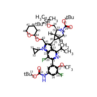 C=C(C)c1nc(-c2cc(NC(=O)OC(C)(C)C)cc(F)c2OC(F)(F)F)c(F)c2c1c([C@@H]1[C@H]3CN(C(=O)OC(C)(C)C)[C@H](CO[Si](C)(C)C(C)(C)C)[C@H]31)c(COC1CCCCO1)n2C1CC1